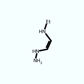 CCN/C=C\NN